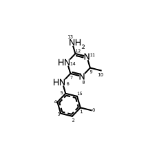 Cc1cccc(NC2=NC(C)N=C(N)N2)c1